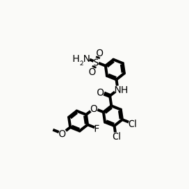 COc1ccc(Oc2cc(Cl)c(Cl)cc2C(=O)Nc2cccc(S(N)(=O)=O)c2)c(F)c1